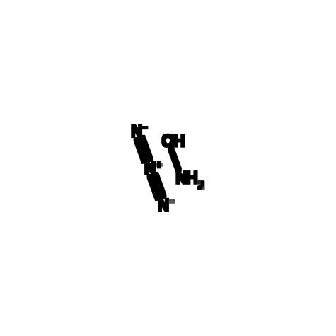 NO.[N-]=[N+]=[N-]